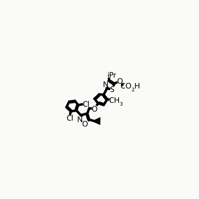 Cc1cc(OCc2c(-c3c(Cl)cccc3Cl)noc2C2CC2)ccc1-c1nc(C(C)C)c(OC(=O)O)s1